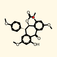 COc1ccc([C@H]2c3cc(OC)cc(O)c3C(=O)c3cc(OC)cc(OC)c3[C@@H]2OC(C)=O)cc1